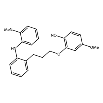 CNc1ccccc1Nc1ccccc1CCCOc1cc(OC)ccc1C#N